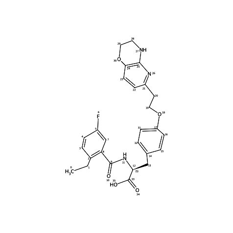 CCc1ccc(F)cc1C(=O)N[C@@H](Cc1ccc(OCCc2ccc3c(n2)NCCO3)cc1)C(=O)O